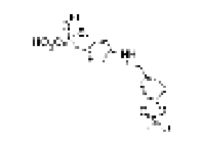 CCO[C@@](CC)(Cc1ccc(NCCc2ccc(OS(C)(=O)=O)cc2)cc1)C(=O)O